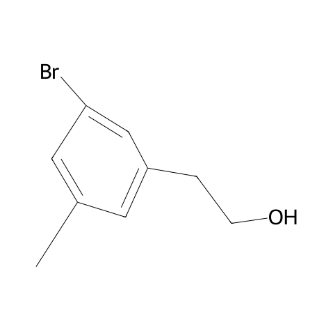 Cc1cc(Br)cc(CCO)c1